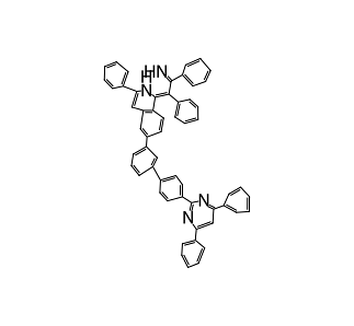 N=C(/C(=C1\NC(c2ccccc2)=Cc2cc(-c3cccc(-c4ccc(-c5nc(-c6ccccc6)cc(-c6ccccc6)n5)cc4)c3)ccc21)c1ccccc1)c1ccccc1